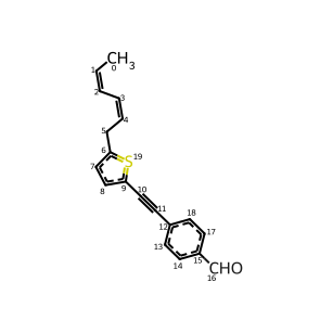 C/C=C\C=C/Cc1ccc(C#Cc2ccc(C=O)cc2)s1